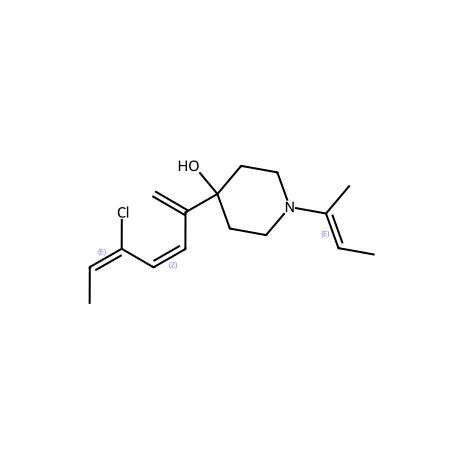 C=C(/C=C\C(Cl)=C/C)C1(O)CCN(/C(C)=C/C)CC1